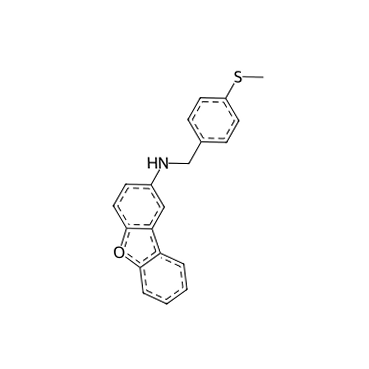 CSc1ccc(CNc2ccc3oc4ccccc4c3c2)cc1